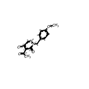 COc1ccc(Cn2ncc(Cl)c(C(C)=O)c2=O)cc1